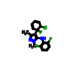 Cc1nn(C)c(Nc2c(F)cccc2F)c1C1(F)C=CC=CC1Cl